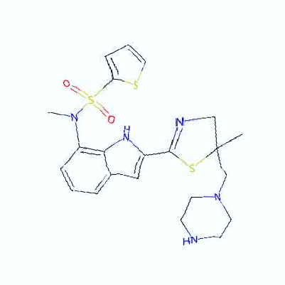 CN(c1cccc2cc(C3=NCC(C)(CN4CCNCC4)S3)[nH]c12)S(=O)(=O)c1cccs1